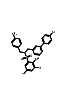 O=S(=O)(c1cc(Cl)cc(Cl)c1O)N(Cc1ccc(C(F)(F)F)cc1)Cc1cccc(-c2ccc(Cl)cc2)c1